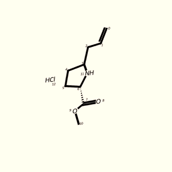 C=CCC1CC[C@@H](C(=O)OC)N1.Cl